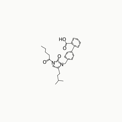 CCCCC(=O)n1cc(CCC(C)C)n(Cc2ccc(-c3ccccc3C(=O)O)cc2)c1=O